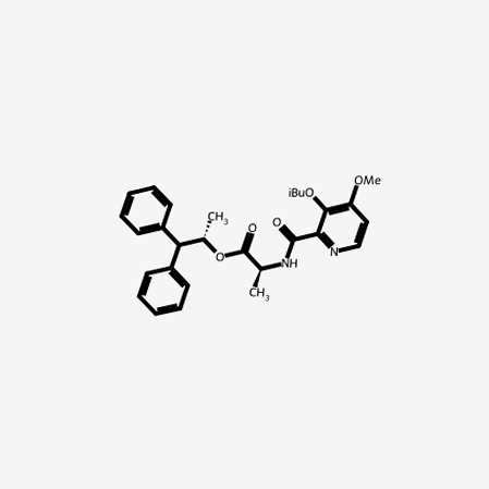 COc1ccnc(C(=O)N[C@@H](C)C(=O)O[C@@H](C)C(c2ccccc2)c2ccccc2)c1OCC(C)C